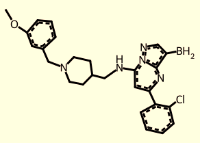 Bc1cnn2c(NCC3CCN(Cc4cccc(OC)c4)CC3)cc(-c3ccccc3Cl)nc12